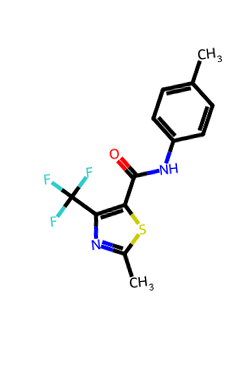 Cc1ccc(NC(=O)c2sc(C)nc2C(F)(F)F)cc1